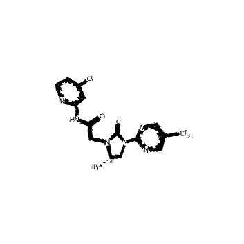 CC(C)[C@H]1CN(c2ncc(C(F)(F)F)cn2)C(=O)N1CC(=O)Nc1cc(Cl)ccn1